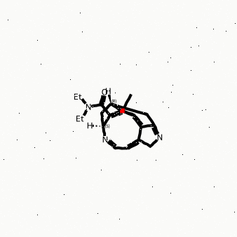 CCN(CC)C(=O)C1=CC2=C3C4=CC=N[C@H]1C[C@H](CC3=NC4)C2C